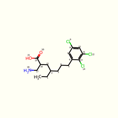 CCC(CCCc1cc(Cl)cc(Cl)c1Cl)CC(CN)C(=O)O